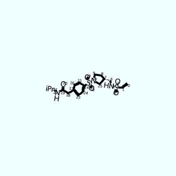 C=CS(=O)(=O)NC[C@H]1CCN(S(=O)(=O)c2ccc(CC(=O)NC(C)C)cc2)C1